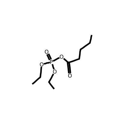 CCCCC(=O)OP(=O)(OCC)OCC